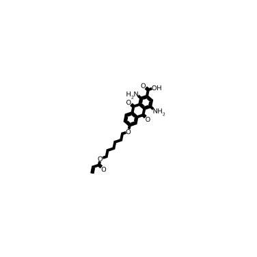 C=CC(=O)OCCCCCCOc1ccc2c(c1)C(=O)c1c(N)cc(C(=O)O)c(N)c1C2=O